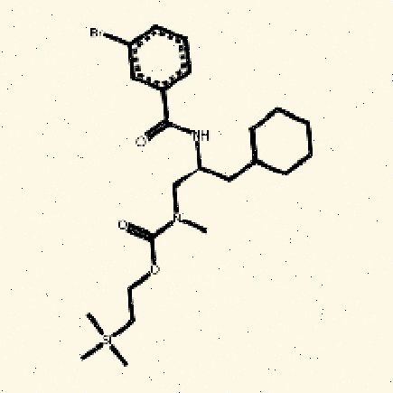 CN(C[C@H](CC1CCCCC1)NC(=O)c1cccc(Br)c1)C(=O)OCC[Si](C)(C)C